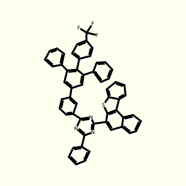 FC(F)(F)c1ccc(-c2c(-c3ccccc3)cc(-c3cccc(-c4nc(-c5ccccc5)nc(-c5cc6ccccc6c6c5sc5ccccc56)n4)c3)cc2-c2ccccc2)cc1